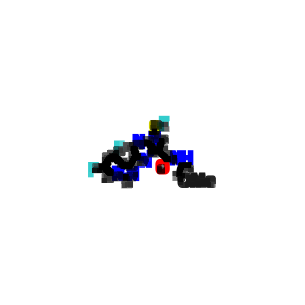 COCC(C)NC(=O)c1cn(SF)c2ncc(-c3ncn4cc(F)cc(F)c34)nc12